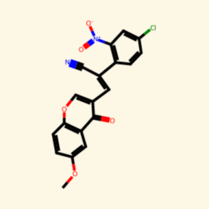 COc1ccc2occ(/C=C(\C#N)c3ccc(Cl)cc3[N+](=O)[O-])c(=O)c2c1